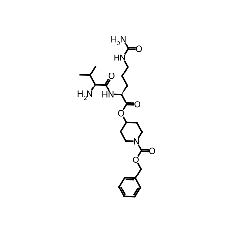 CC(C)[C@H](N)C(=O)N[C@@H](CCCNC(N)=O)C(=O)OC1CCN(C(=O)OCc2ccccc2)CC1